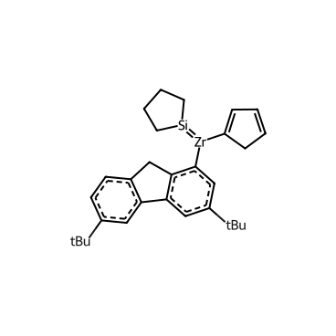 CC(C)(C)c1ccc2c(c1)-c1cc(C(C)(C)C)c[c]([Zr]([C]3=CC=CC3)=[Si]3CCCC3)c1C2